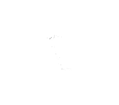 CCCCCCCCCCCCOCCOCCOCCOCCCC(=O)OCCCCC